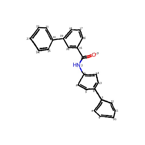 O=C(Nc1ccc(-c2ccccc2)cc1)c1cccc(-c2ccccc2)c1